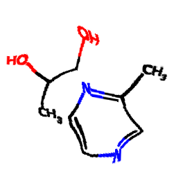 CC(O)CO.Cc1cnccn1